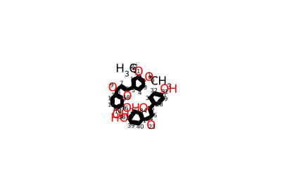 COc1ccc(-c2cc(=O)c3ccc(O)c(O)c3o2)cc1OC.O=c1cc(-c2ccc(O)cc2)oc2cc(O)ccc12